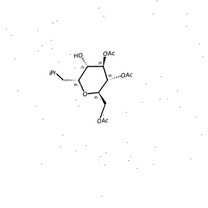 CC(=O)OC[C@H]1O[C@H](CC(C)C)[C@H](O)[C@@H](OC(C)=O)[C@@H]1OC(C)=O